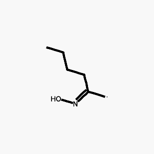 [CH2]C(CCCC)=NO